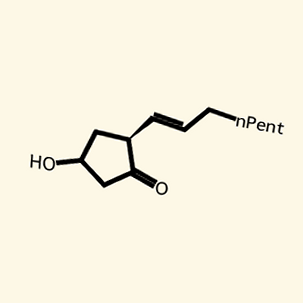 CCCCCC/C=C/[C@@H]1CC(O)CC1=O